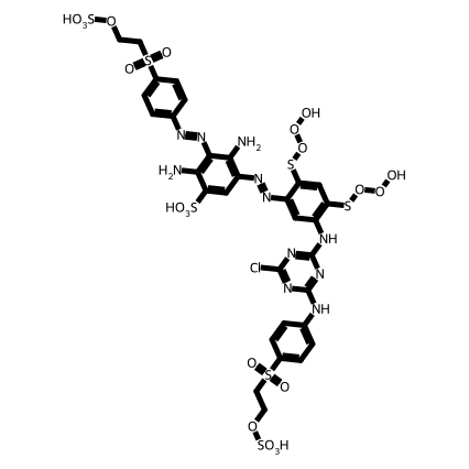 Nc1c(/N=N/c2cc(Nc3nc(Cl)nc(Nc4ccc(S(=O)(=O)CCOS(=O)(=O)O)cc4)n3)c(SOOO)cc2SOOO)cc(S(=O)(=O)O)c(N)c1/N=N/c1ccc(S(=O)(=O)CCOS(=O)(=O)O)cc1